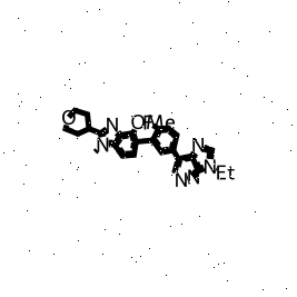 CCn1cnc2c(-c3ccc(F)c(-c4ccc5c(nc(C6CCOCC6)n5C)c4OC)c3)cnnc21